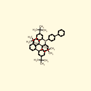 CC(C)(C)c1cc(-c2cccc3cccc(-c4ccccc4N(c4ccc(-c5ccccc5)cc4)c4cc(C(C)(C)C)cc(C(C)(C)C)c4)c23)cc(C(C)(C)C)c1